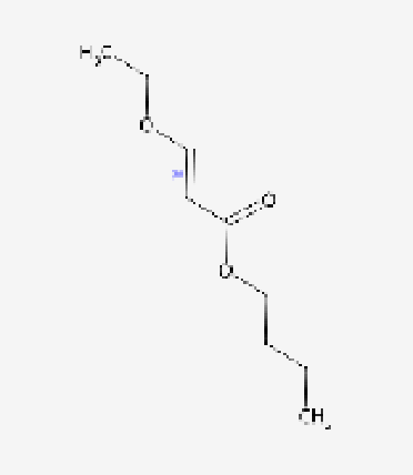 CCCCOC(=O)/C=C/OCC